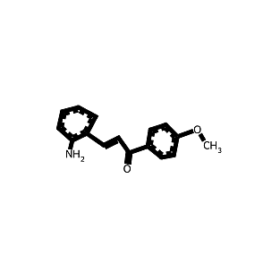 COc1ccc(C(=O)/C=C/c2ccccc2N)cc1